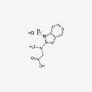 CN(CC(=O)O)c1cc2ccccc2n1C.Cl